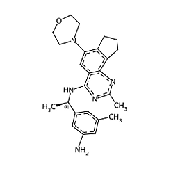 Cc1cc(N)cc([C@@H](C)Nc2nc(C)nc3c4c(c(N5CCOCC5)cc23)CCC4)c1